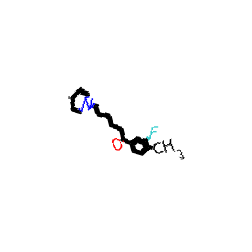 Cc1ccc(C(=O)CCCCCN2CC[CH]CC2)cc1F